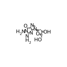 Nc1nc2c(ncn2[C@H]2C[C@H](O)[C@@H](CO)O2)c(=O)n1N